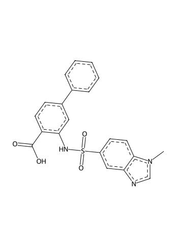 Cn1cnc2cc(S(=O)(=O)Nc3cc(-c4ccccc4)ccc3C(=O)O)ccc21